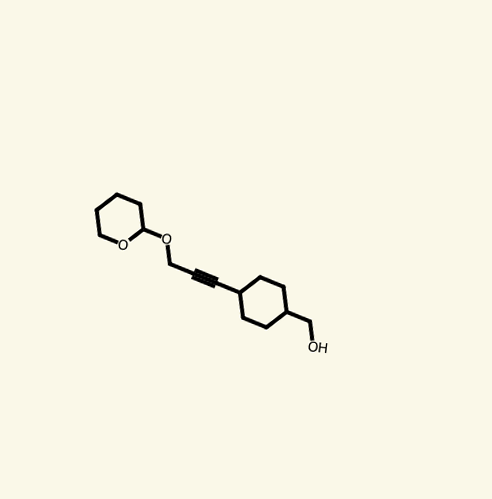 OCC1CCC(C#CCOC2CCCCO2)CC1